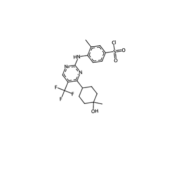 Cc1cc(S(=O)(=O)Cl)ccc1Nc1ncc(C(F)(F)F)c(C2CCC(C)(O)CC2)n1